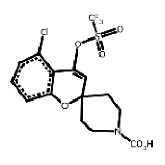 O=C(O)N1CCC2(C=C(OS(=O)(=O)C(F)(F)F)c3c(Cl)cccc3O2)CC1